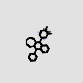 CC(=N)/C=C\C(=C/C(C)=N)c1c2c(c(-c3ccccc3)c3ccccc13)C=CCC=C2